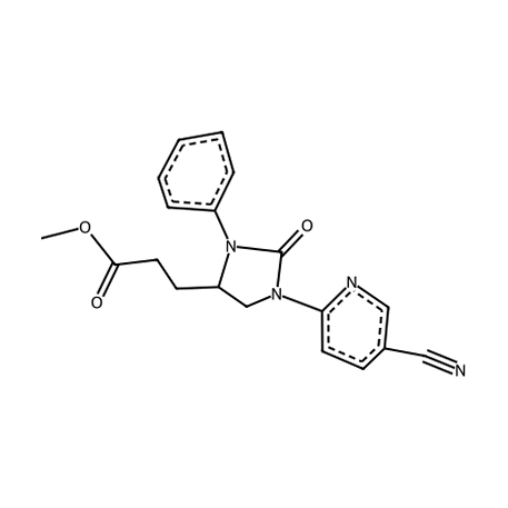 COC(=O)CCC1CN(c2ccc(C#N)cn2)C(=O)N1c1ccccc1